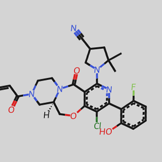 C=CC(=O)N1CCN2C(=O)c3c(N4CC(C#N)CC4(C)C)nc(-c4c(O)cccc4F)c(Cl)c3OC[C@H]2C1